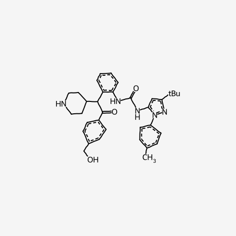 Cc1ccc(-n2nc(C(C)(C)C)cc2NC(=O)Nc2ccccc2C(C(=O)c2ccc(CO)cc2)C2CCNCC2)cc1